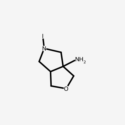 NC12COCC1CN(I)C2